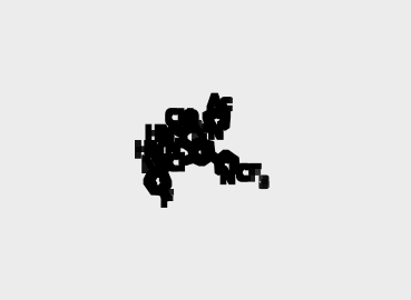 CC(=O)c1ccnc(NC(=O)C2=C(C)NC(Nc3nc4ccc(F)cc4o3)=NC2c2ccc(-c3ccc(C(F)(F)F)nc3)cc2Cl)c1